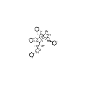 CC(C)[C@H](NC(=O)CNc1cccnc1)C(=O)N[C@@H](Cc1ccccc1)C(O)[C@H](Cc1ccccc1)NC(=O)[C@@H](NC(=O)CNc1cccnc1)C(C)C